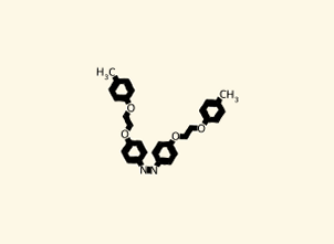 Cc1ccc(OCCOc2ccc(/N=N\c3ccc(OCCOc4ccc(C)cc4)cc3)cc2)cc1